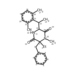 CCC1(Cc2ccccc2)C(=O)NC(C(C)c2c(C)cccc2C#N)C(=O)N1C